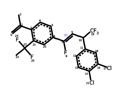 C=C(C)c1ccc(/C(F)=C/C(c2ccc(Cl)c(Cl)c2)C(F)(F)F)cc1C(C)(F)F